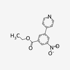 CCOC(=O)c1cc(-c2ccncc2)cc([N+](=O)[O-])c1